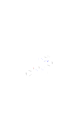 C[C@@](Cc1ncc[nH]1)(NC(=S)NC(=O)c1ccccc1)c1cc([N+](=O)[O-])ccc1F